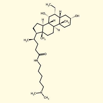 CC[C@H]1[C@@H](O)[C@@H]2[C@H](CC[C@]3(C)[C@@H]([C@H](C)CCC(=O)NCCCCCN(C)C)CC[C@@H]23)[C@@]2(C)CC[C@@H](O)C[C@@H]12